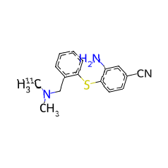 CN([11CH3])Cc1ccccc1Sc1ccc(C#N)cc1N